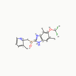 Cc1cccnc1C[S+]([O-])c1nc2c(C)c(OC(F)F)c(C)cc2[nH]1